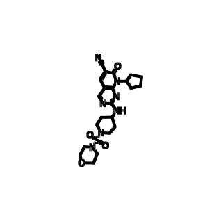 N#Cc1cc2cnc(NC3CCN(S(=O)(=O)N4CCOCC4)CC3)nc2n(C2CCCC2)c1=O